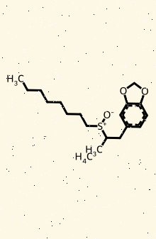 C.CCCCCCCC[S+]([O-])C(C)Cc1ccc2c(c1)OCO2